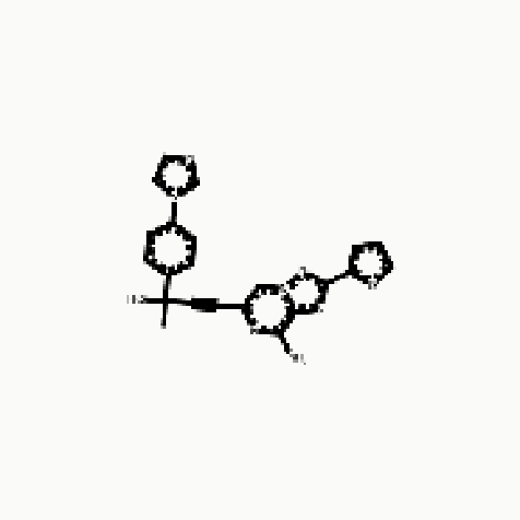 CC(O)(C#Cc1cn2nc(-c3ccco3)nc2c(N)n1)c1ccc(-n2ccnc2)cc1